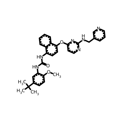 COc1ccc(C(C)(C)C)cc1NC(=O)Nc1ccc(Oc2ccnc(NCc3cccnc3)n2)c2ccccc12